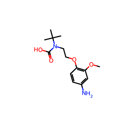 COc1cc(N)ccc1OCCN(C(=O)O)C(C)(C)C